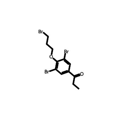 CCC(=O)c1cc(Br)c(OCCCBr)c(Br)c1